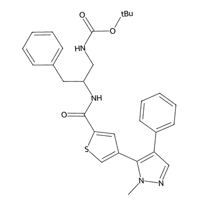 Cn1ncc(-c2ccccc2)c1-c1csc(C(=O)NC(CNC(=O)OC(C)(C)C)Cc2ccccc2)c1